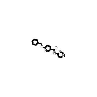 O=C(Nc1ccncn1)c1ccc(OCc2ccccc2)nc1